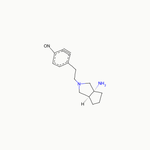 N[C@]12CCC[C@H]1CN(CCc1c#cc(N=O)cc1)C2